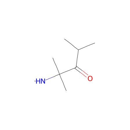 CC(C)C(=O)C(C)(C)[NH]